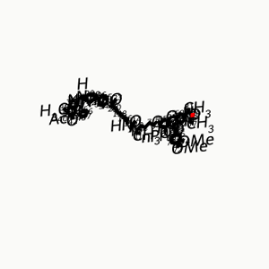 CCCOc1cc(OCCCCN(C)CC(=O)NCCCCCCC(=O)N2CCN(c3ccc(Nc4ncc5c(C)c(C(C)=O)c(=O)n(C6CCCC6)c5n4)nc3)CC2)cc(Oc2cc3c(cc2NS(=O)(=O)c2ccc(OC)c(OC)c2)n(C)c(=O)n3C)c1